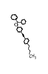 CCCCCc1ccc(C#Cc2ccc(OC(c3ccccc3)c3ccccc3)cc2)cc1